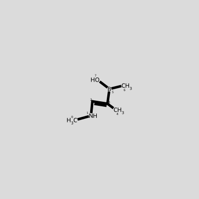 CN/C=C(\C)B(C)O